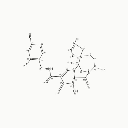 CC1=NO[C@@]2(CC[C@H](C)N3C[C@H]2n2cc(C(=O)NCc4ccc(F)cc4F)c(=O)c(O)c2C3=O)C1